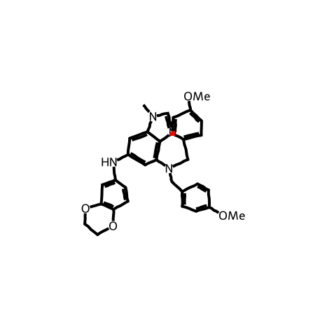 COc1ccc(CN(Cc2ccc(OC)cc2)c2cc(Nc3ccc4c(c3)OCCO4)cc3c2ncn3C)cc1